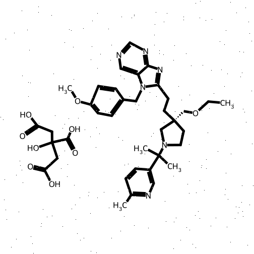 CCOC[C@]1(CCc2nc3ncncc3n2Cc2ccc(OC)cc2)CCN(C(C)(C)c2ccc(C)nc2)C1.O=C(O)CC(O)(CC(=O)O)C(=O)O